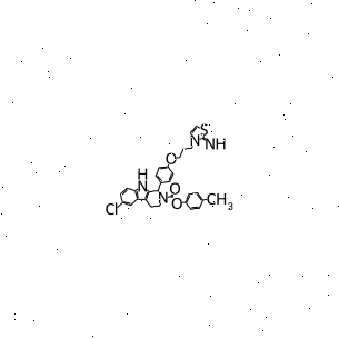 Cc1ccc(OC(=O)N2CCc3c([nH]c4ccc(Cl)cc34)C2c2ccc(OCCCn3ccsc3=N)cc2)cc1